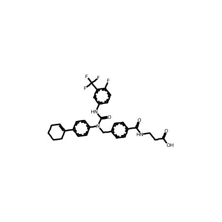 O=C(O)CCNC(=O)c1ccc(CN(C(=O)Nc2ccc(F)c(C(F)(F)F)c2)c2ccc(C3=CCCCC3)cc2)cc1